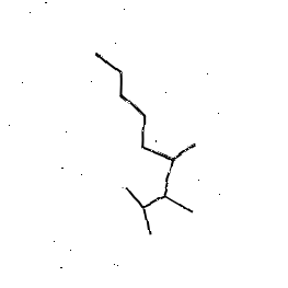 [CH2]C(C)C(C)C(C)CCCCC